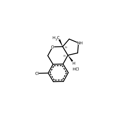 C[C@@]12CNC[C@@H]1c1cccc(Cl)c1CO2.Cl